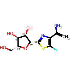 C=C(N)c1nc([C@@H]2O[C@H](CO)[C@@H](O)[C@H]2O)sc1F